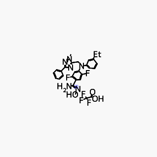 CCc1cccc(N(Cc2nc(-c3ccccc3)nn2C)c2cc(F)c(/C(N)=N/O)cc2F)c1.O=C(O)C(F)(F)F